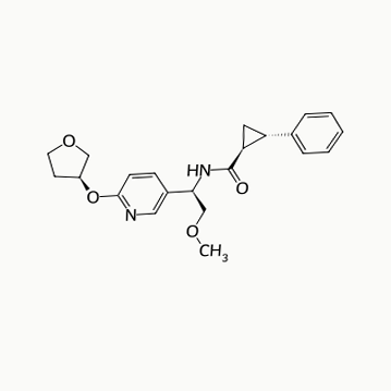 COC[C@H](NC(=O)[C@H]1C[C@@H]1c1ccccc1)c1ccc(O[C@H]2CCOC2)nc1